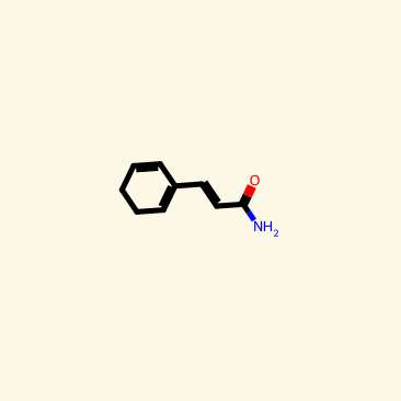 NC(=O)/C=C/C1=CCCC=C1